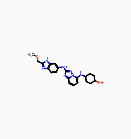 COCc1nc2ccc(Nc3nc4cccc(NC5CCC(O)CC5)n4n3)cc2[nH]1